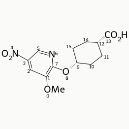 COc1cc([N+](=O)[O-])cnc1O[C@H]1CC[C@@H](C(=O)O)CC1